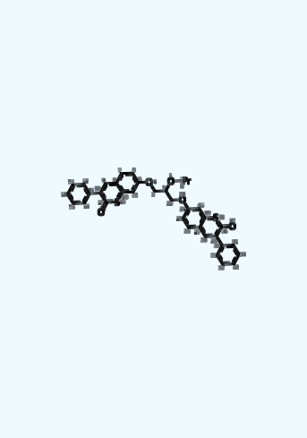 CC(C)OC(COc1ccc2cc(-c3ccccc3)c(=O)sc2c1)COc1ccc2cc(-c3ccccc3)c(=O)sc2c1